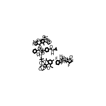 CCc1cc(C)cc(CC)c1-c1c(OC(=O)C(C)(C)C)n2n(c1=O)CCOCC2.COc1ccccc1C(=O)NS(=O)(=O)c1ccc(C(=O)NC2CC2)cc1.COc1ncc(F)c2nc(S(=O)(=O)Nc3c(F)cccc3F)nn12.Cc1c(C(=O)c2cnn(C)c2O)ccc(S(C)(=O)=O)c1C1=NOCC1